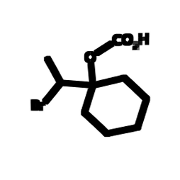 CC(Br)C1(OC(=O)O)CCCCC1